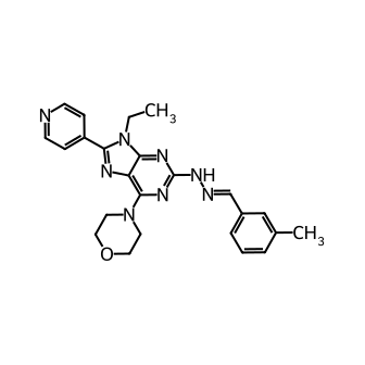 CCn1c(-c2ccncc2)nc2c(N3CCOCC3)nc(NN=Cc3cccc(C)c3)nc21